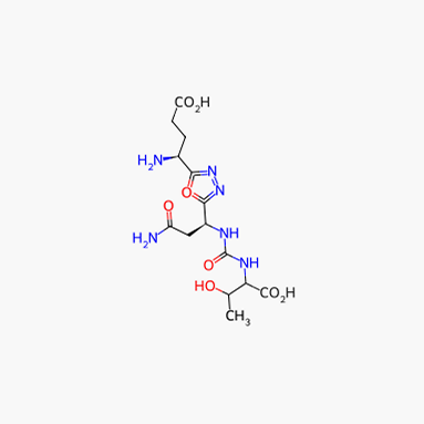 CC(O)C(NC(=O)N[C@@H](CC(N)=O)c1nnc([C@@H](N)CCC(=O)O)o1)C(=O)O